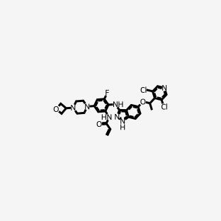 C=CC(=O)Nc1cc(N2CCN(C3COC3)CC2)cc(F)c1Nc1n[nH]c2ccc(OC(C)c3c(Cl)cncc3Cl)cc12